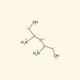 NC(CO)OC(N)CO